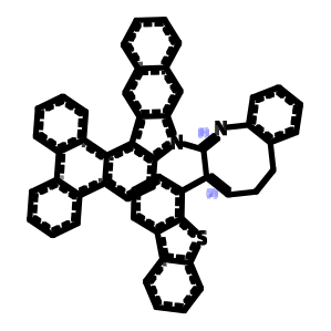 C1=C(c2cccc3c2sc2ccccc23)\C(n2c3cc4ccccc4cc3c3c4c5ccccc5c5ccccc5c4ccc32)=N/c2ccccc2CC/1